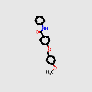 COc1ccc(COc2ccc(C(=O)Nc3ccccc3)cc2)cc1